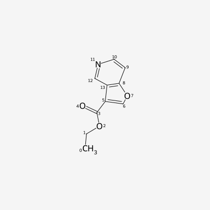 CCOC(=O)c1coc2ccncc12